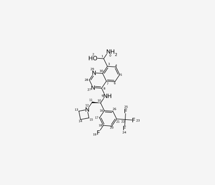 NC(O)c1cccc2c(N[C@H](CN3CCC3)c3cc(F)cc(C(F)(F)F)c3)ncnc12